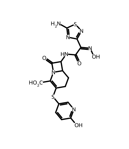 Nc1nc(/C(=N/O)C(=O)NC2C(=O)N3C(C(=O)O)=C(Sc4ccc(O)nc4)CCC23)ns1